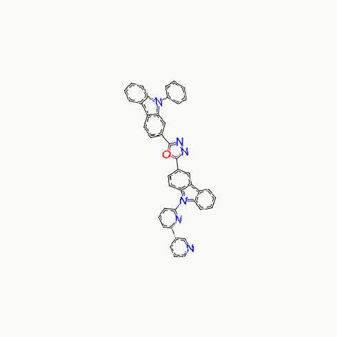 c1ccc(-n2c3ccccc3c3ccc(-c4nnc(-c5ccc6c(c5)c5ccccc5n6-c5cccc(-c6cccnc6)n5)o4)cc32)cc1